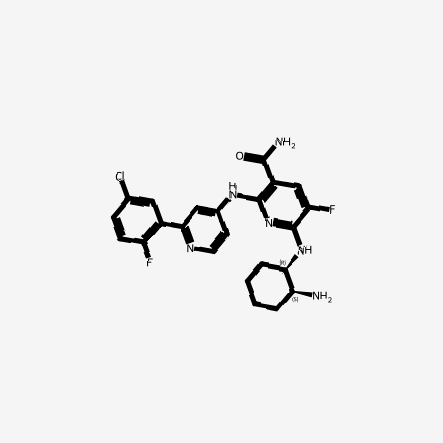 NC(=O)c1cc(F)c(N[C@@H]2CCCC[C@@H]2N)nc1Nc1ccnc(-c2cc(Cl)ccc2F)c1